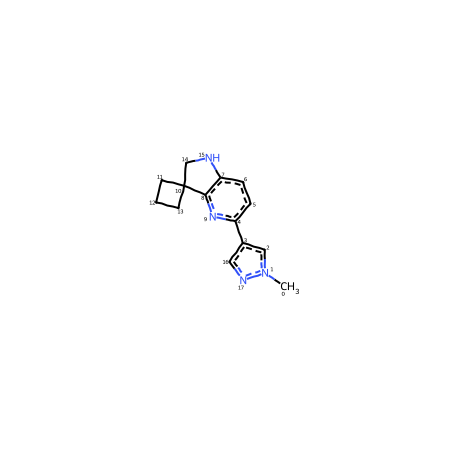 Cn1cc(-c2ccc3c(n2)C2(CCC2)CN3)cn1